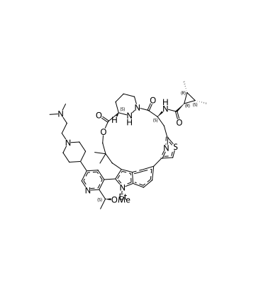 CCn1c(-c2cc(C3CCN(CCN(C)C)CC3)cnc2[C@H](C)OC)c2c3cc(ccc31)-c1csc(n1)C[C@H](NC(=O)[C@H]1[C@H](C)[C@@H]1C)C(=O)N1CCC[C@H](N1)C(=O)OCC(C)(C)C2